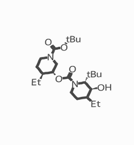 CCC1CCN(C(=O)O[C@H]2CN(C(=O)OC(C)(C)C)CC[C@@H]2CC)[C@H](C(C)(C)C)[C@H]1O